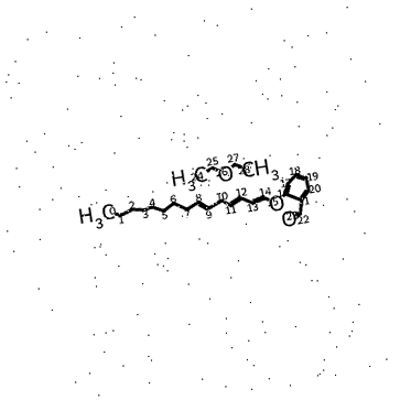 CCCCCCCCC=CCC=CC=COc1ccccc1C=O.CCOCC